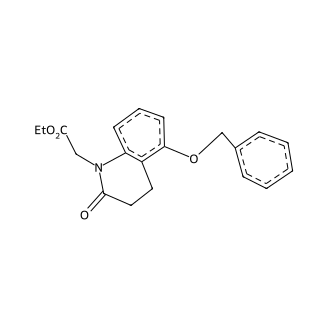 CCOC(=O)CN1C(=O)CCc2c(OCc3ccccc3)cccc21